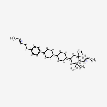 C/C=C/CCc1ccc(C2CCC(C3CCC(C4CC(C)(C)N(/C=C/C)C(C)(C)C4)CC3)CC2)cc1